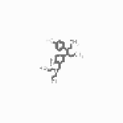 CCC(=C(CC)c1ccc(O)c(CN(CCO)CCO)c1)c1ccc(O)cc1